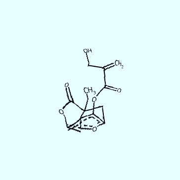 C=C(CO)C(=O)Oc1c2oc3c1OC(=O)C3(C)C2